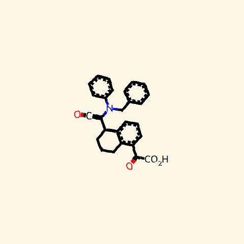 O=C=C(C1CCCc2c(C(=O)C(=O)O)cccc21)N(Cc1ccccc1)c1ccccc1